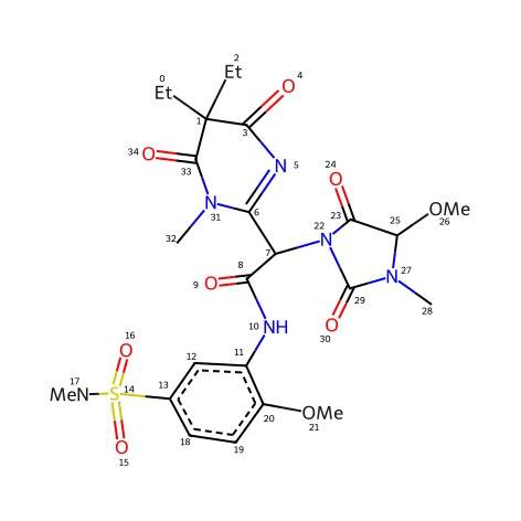 CCC1(CC)C(=O)N=C(C(C(=O)Nc2cc(S(=O)(=O)NC)ccc2OC)N2C(=O)C(OC)N(C)C2=O)N(C)C1=O